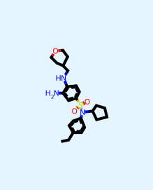 CCc1ccc(N(C2CCCC2)S(=O)(=O)c2ccc(NCC3CCOCC3)c(N)c2)cc1